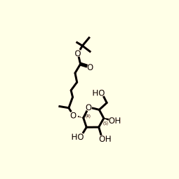 CC(CCCCC(=O)OC(C)(C)C)O[C@@H]1OC(CO)[C@@H](O)C(O)C1O